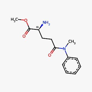 COC(=O)[C@@H](N)CCC(=O)N(C)c1ccccc1